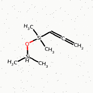 C=C=C[Si](C)(C)O[SiH](C)C